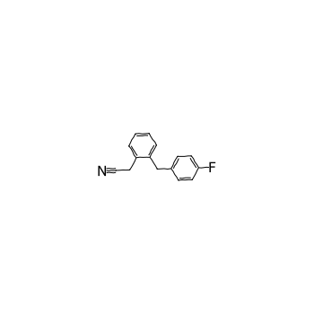 N#CCc1ccccc1Cc1ccc(F)cc1